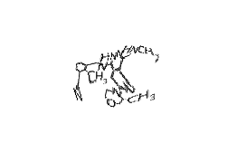 CNCc1nnc(NCc2cccc(C#N)c2C)c2cc(N3CCOC[C@H]3C)ncc12